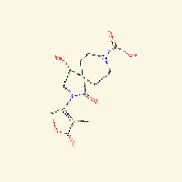 CC1=C(N2CC(O)C3(CCN(C(=O)O)CC3)C2=O)COC1=O